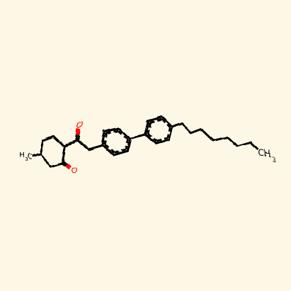 CCCCCCCCc1ccc(-c2ccc(CC(=O)C3CCC(C)CC3=O)cc2)cc1